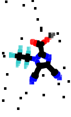 N#Cc1nc(C(=O)[O-])n(C(F)(F)C(F)(F)F)c1C#N.[Li+]